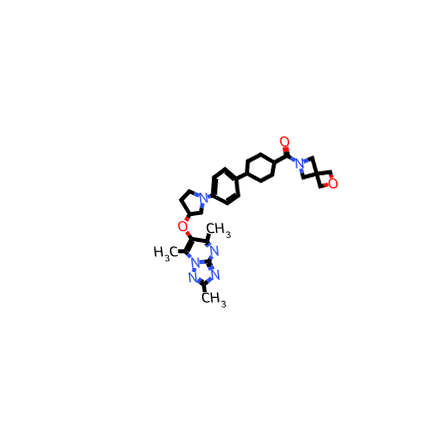 Cc1nc2nc(C)c(OC3CCN(c4ccc(C5CCC(C(=O)N6CC7(COC7)C6)CC5)cc4)C3)c(C)n2n1